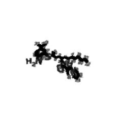 C=C(CCC(CCCCCCCC)CNC(=O)C(=C)CN1CCCC1)Sc1cc(C(C)C)ccc1N